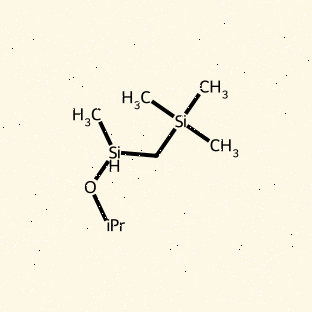 CC(C)O[SiH](C)C[Si](C)(C)C